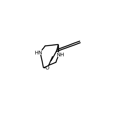 C=C1CCOC2CNC1CN2